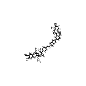 CC1(C)C(NC(=O)c2ccc(CCN3CC4CN(c5ccc6nnn(C7CCC(=O)NC7=O)c(=O)c6c5)CC4C3)cc2)C(C)(C)C1Oc1ccc(C#N)c(Cl)c1